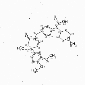 CCC1(c2ccc(OC)c(OC)c2)C=NN(Cc2ccc(N(C(=O)O)C3CCN(C)CC3)cc2)C(=O)C1